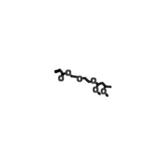 C=CC(=O)OCCOCCOC(CC(C)OC)OC